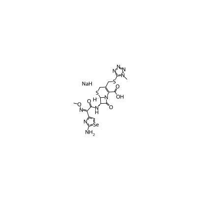 CO/N=C(\C(=O)N[C@@H]1C(=O)N2C(C(=O)O)=C(CSc3nnnn3C)CS[C@H]12)c1c[se]c(N)n1.[NaH]